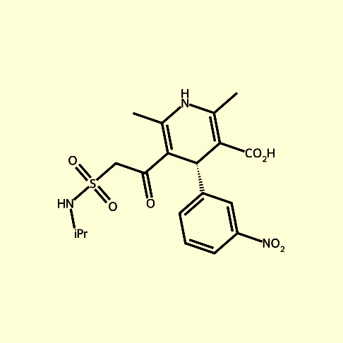 CC1=C(C(=O)O)[C@H](c2cccc([N+](=O)[O-])c2)C(C(=O)CS(=O)(=O)NC(C)C)=C(C)N1